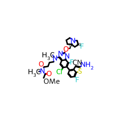 COCC(=O)N(C)C(=O)CCCN(C)c1nc(OC[C@@]23CCCN2C[C@H](F)C3)nc2c(F)c(-c3ccc(F)c4sc(N)c(C#N)c34)c(Cl)cc12